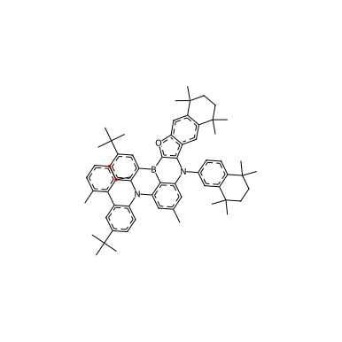 Cc1cc2c3c(c1)N(c1ccc4c(c1)C(C)(C)CCC4(C)C)c1c(oc4cc5c(cc14)C(C)(C)CCC5(C)C)B3c1cc(C(C)(C)C)ccc1N2c1ccc(C(C)(C)C)cc1-c1c(C)cccc1C